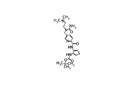 CN(C)CCN(Cc1ccc(C(=O)Nc2cscc2NC(=O)OC(C)(C)C)nc1)C(N)=O